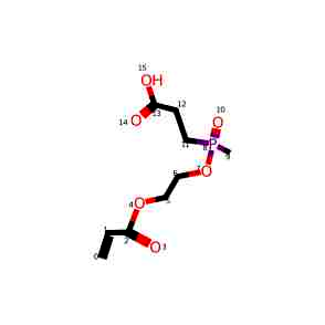 C=CC(=O)OCCOP(C)(=O)CCC(=O)O